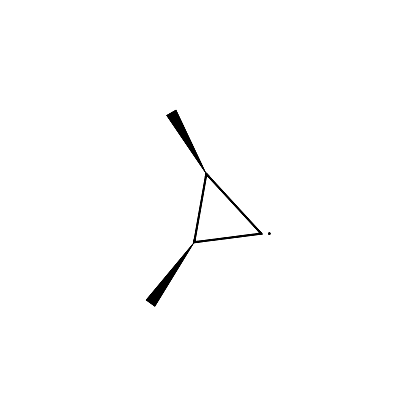 C[C@@H]1[CH][C@@H]1C